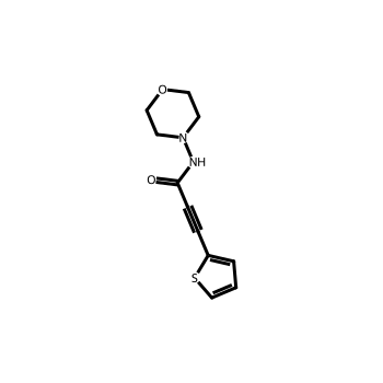 O=C(C#Cc1cccs1)NN1CCOCC1